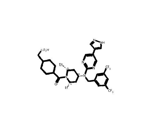 CC[C@@H]1C[C@H](N(Cc2cc(C(F)(F)F)cc(C(F)(F)F)c2)c2ncc(-c3cn[nH]c3)cn2)C[C@H](CC)N1C(=O)C1CCC(CC(=O)O)CC1